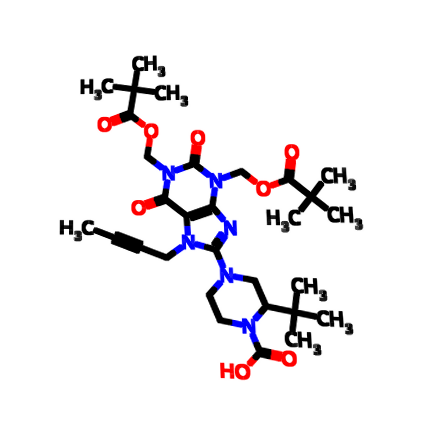 CC#CCn1c(N2CCN(C(=O)O)C(C(C)(C)C)C2)nc2c1c(=O)n(COC(=O)C(C)(C)C)c(=O)n2COC(=O)C(C)(C)C